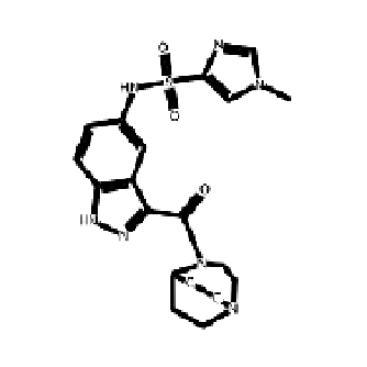 Cn1cnc(S(=O)(=O)Nc2ccc3[nH]nc(C(=O)N4CCN5CCC4CC5)c3c2)c1